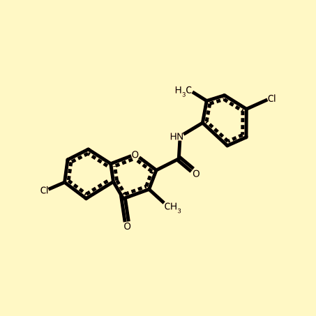 Cc1cc(Cl)ccc1NC(=O)c1oc2ccc(Cl)cc2c(=O)c1C